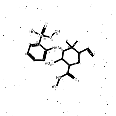 C=CC1CC(C(=O)NC(C)(C)C)C(C(=O)O)CC1(C)C.CC(=O)Nc1ccccc1[As](=O)(O)OO